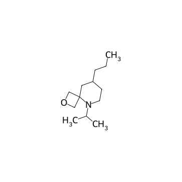 CCCC1CCN(C(C)C)C2(COC2)C1